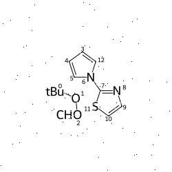 CC(C)(C)OC=O.c1ccn(-c2nccs2)c1